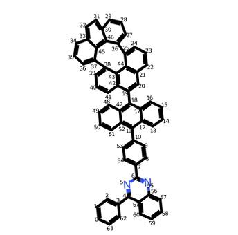 c1ccc(-c2nc(-c3ccc(-c4c5ccccc5c(-c5cc6cccc7c8cccc9ccc%10cccc(c%11cccc5c%11c67)c%10c98)c5ccccc45)cc3)nc3ccccc23)cc1